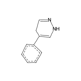 C1=NNC=C(c2ccccc2)C1